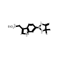 C=C1OB(c2ccc3c(CC(=O)OCC)c[nH]c3c2)OC1(C)C